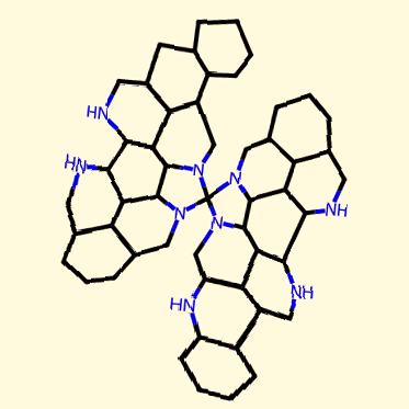 C1CCC2C(C1)CC1CNC3C4NCC5CCCC6CN7C(C4C56)C4C3C1C2CN4C71N2CC3CCCC4CNC5C6NCC7C8CCCCC8NC8CN1C(C6C87)C2C5C43